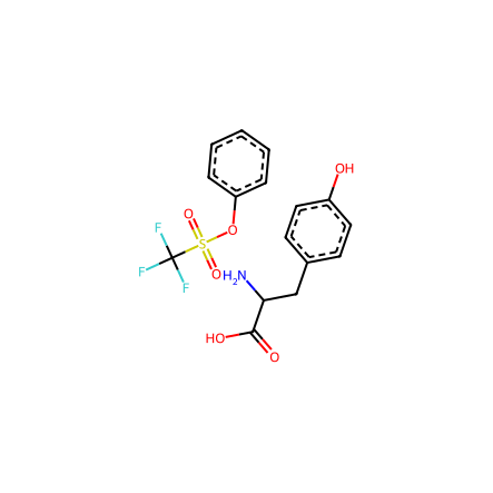 NC(Cc1ccc(O)cc1)C(=O)O.O=S(=O)(Oc1ccccc1)C(F)(F)F